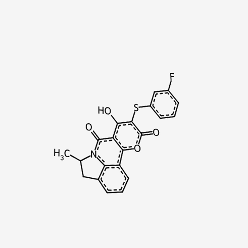 CC1Cc2cccc3c4oc(=O)c(Sc5cccc(F)c5)c(O)c4c(=O)n1c23